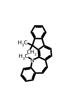 CN1c2ccccc2C=Cc2ccc3c(c21)C(C)(C)c1ccccc1-3